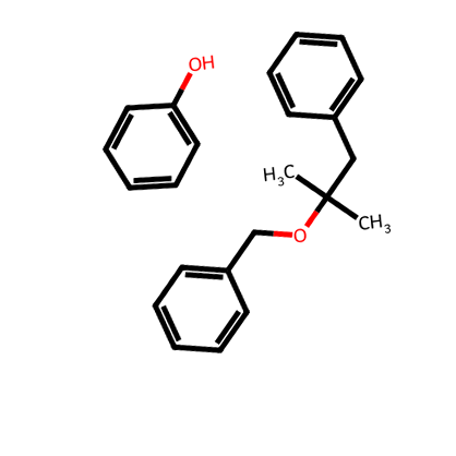 CC(C)(Cc1ccccc1)OCc1ccccc1.Oc1ccccc1